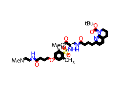 CNCCNC(=O)CCCOc1cc(C)c(S(=O)(=O)N[C@@H](CNC(=O)CCCc2ccc3c(n2)N(C(=O)OC(C)(C)C)CCC3)C(=O)OC)c(C)c1